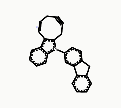 C1#CCc2c(c3ccccc3n2-c2ccc3c(c2)-c2ccccc2C3)/C=C\C1